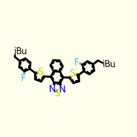 CCC(C)Cc1ccc(-c2ccc(-c3c4ccccc4c(-c4ccc(-c5ccc(CC(C)CC)cc5F)s4)c4nsnc34)s2)c(F)c1